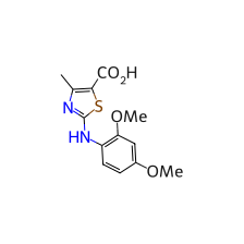 COc1ccc(Nc2nc(C)c(C(=O)O)s2)c(OC)c1